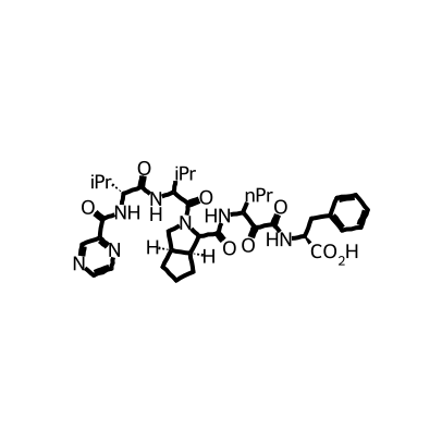 CCCC(NC(=O)C1[C@H]2CCC[C@H]2CN1C(=O)C(NC(=O)[C@H](NC(=O)c1cnccn1)C(C)C)C(C)C)C(=O)C(=O)N[C@@H](Cc1ccccc1)C(=O)O